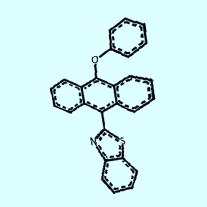 c1ccc(Oc2c3ccccc3c(-c3nc4ccccc4s3)c3ccccc23)cc1